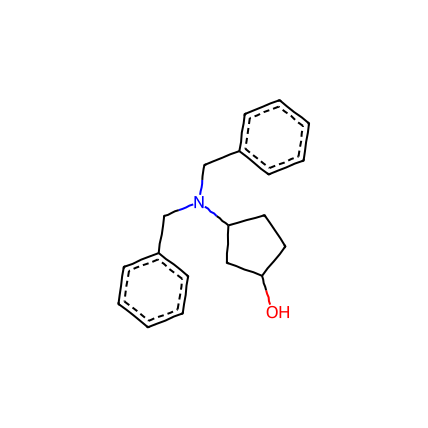 OC1CCC(N(Cc2ccccc2)Cc2ccccc2)C1